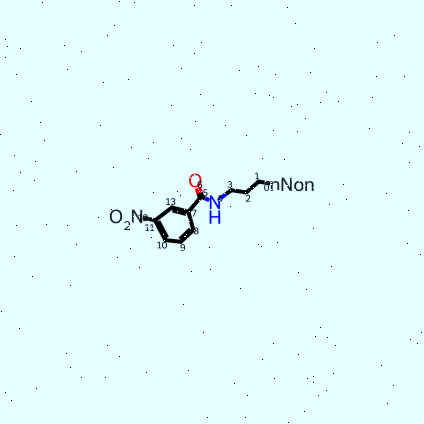 CCCCCCCCCCCCNC(=O)c1[c]ccc([N+](=O)[O-])c1